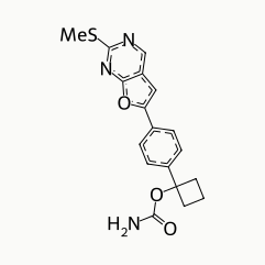 CSc1ncc2cc(-c3ccc(C4(OC(N)=O)CCC4)cc3)oc2n1